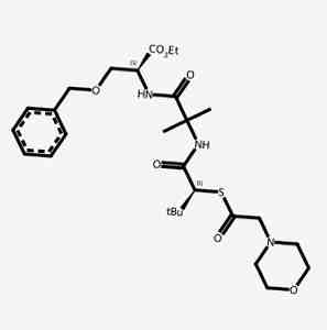 CCOC(=O)[C@H](COCc1ccccc1)NC(=O)C(C)(C)NC(=O)[C@@H](SC(=O)CN1CCOCC1)C(C)(C)C